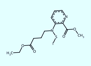 CCOC(=O)CCCN(SI)c1cccnc1C(=O)OC